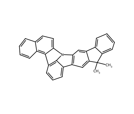 CC1(C)c2ccccc2-c2cc3c(cc21)c1cccc2c4c5ccccc5ccc4n3c12